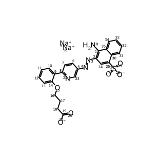 Nc1c(N=Nc2ccc(-c3ccccc3OCCCC(=O)[O-])nc2)cc(S(=O)(=O)[O-])c2ccccc12.[Na+].[Na+]